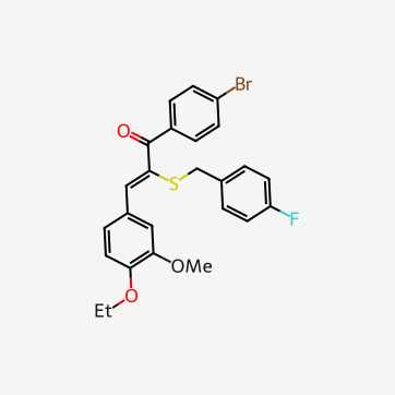 CCOc1ccc(C=C(SCc2ccc(F)cc2)C(=O)c2ccc(Br)cc2)cc1OC